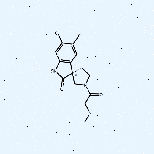 CNCC(=O)N1CC[C@]2(C1)C(=O)Nc1cc(Cl)c(Cl)cc12